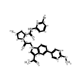 CSc1ncc(-c2ccc3c(c2)c(C(C)=O)cn3CC(=O)N2C[C@H](F)C[C@H]2C(=O)Nc2cccc(Br)n2)cn1